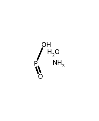 N.O.O=PO